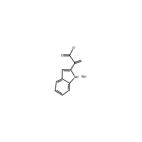 C=C(C(=O)[O-])c1cc2ccccc2[nH]1.[Na+]